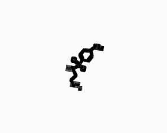 CC(C)(C)c1ccc(S(=O)(=O)NCCN)cc1